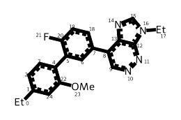 CCc1ccc(-c2cc(-c3cnnc4c3ncn4CC)ccc2F)c(OC)c1